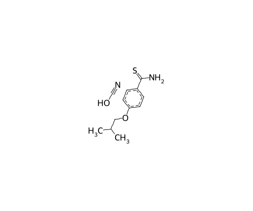 CC(C)COc1ccc(C(N)=S)cc1.N#CO